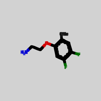 COc1cc(F)c(F)cc1OCCN